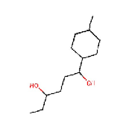 CCC(O)CCC(O)C1CCC(C)CC1